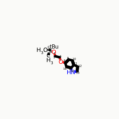 CC(C)(C)[Si](C)(C)OCCOc1ccc2cc[nH]c2c1